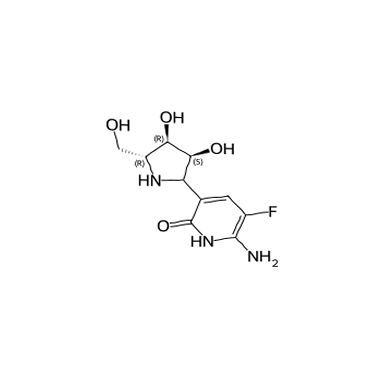 Nc1[nH]c(=O)c(C2N[C@H](CO)[C@@H](O)[C@H]2O)cc1F